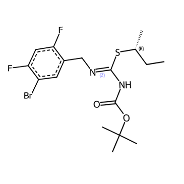 CC[C@@H](C)S/C(=N\Cc1cc(Br)c(F)cc1F)NC(=O)OC(C)(C)C